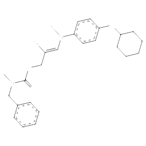 CN(Cc1ccccc1)C(=O)OC/C(N)=C/N(N)c1ccc(OC2CCCCC2)cc1